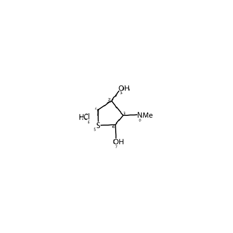 CNC1C(O)CSC1O.Cl